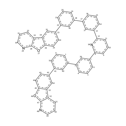 c1cc(-c2cccc(-c3cccc(-c4cccc(-c5cccc(-c6ccc7oc8ncccc8c7c6)c5)c4)n3)c2)cc(-c2ccc3oc4ncccc4c3c2)c1